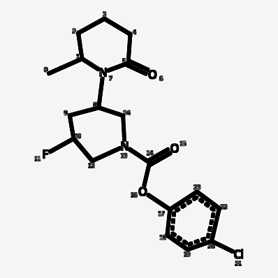 CC1CCCC(=O)N1C1CC(F)CN(C(=O)Oc2ccc(Cl)cc2)C1